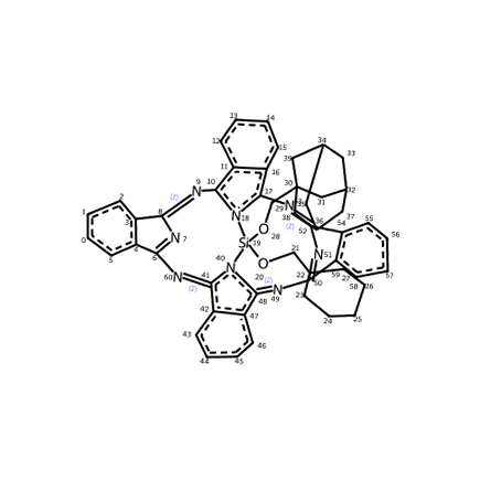 c1ccc2c(c1)C1=NC/2=N\c2c3ccccc3c3n2[Si](OCC2CCCCC2)(OCC24CC5CC(CC(C5)C2)C4)n2/c(c4ccccc4/c2=N/C2=NC(=N\3)/c3ccccc32)=N\1